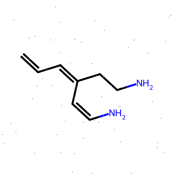 C=C/C=C(\C=C/N)CCN